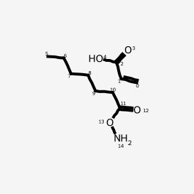 C=CC(=O)O.CCCCCCC(=O)ON